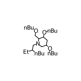 CCCCOCC1C(OCCCC)CC(OCCCC)CN1CC(CC)CCCC